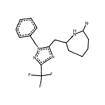 [N]C1CCCCC(Cc2nc(C(F)(F)F)nn2-c2ccccc2)N1